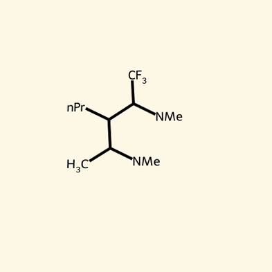 CCCC(C(C)NC)C(NC)C(F)(F)F